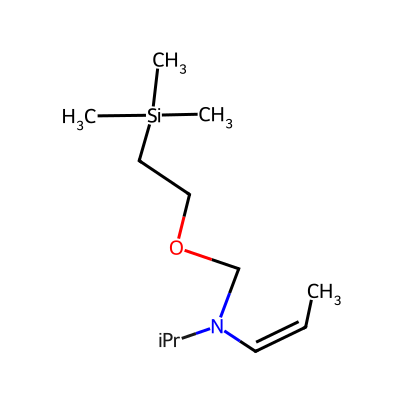 C/C=C\N(COCC[Si](C)(C)C)C(C)C